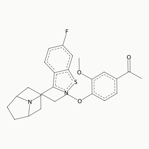 COc1cc(C(C)=O)ccc1OCCCN1C2CCC1CC(c1nsc3cc(F)ccc13)C2